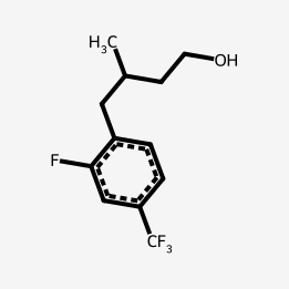 CC(CCO)Cc1ccc(C(F)(F)F)cc1F